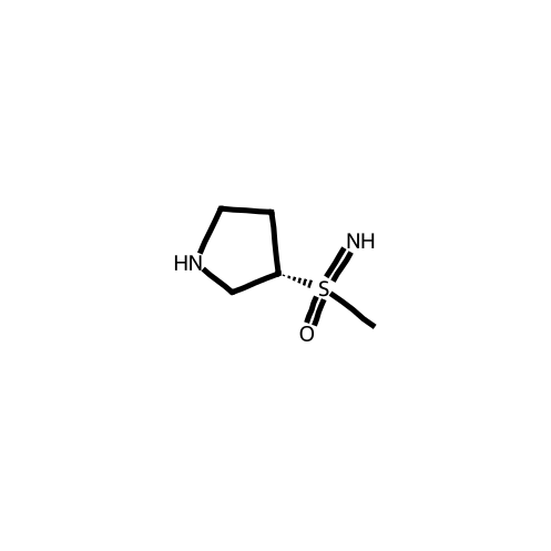 CS(=N)(=O)[C@H]1CCNC1